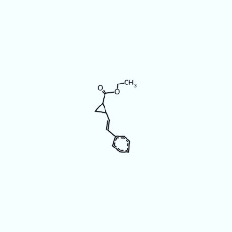 CCOC(=O)C1CC1/C=C/c1ccccc1